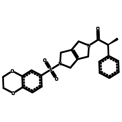 C[C@H](C(=O)N1CC2=C(C1)CN(S(=O)(=O)c1ccc3c(c1)OCCO3)C2)c1ccccc1